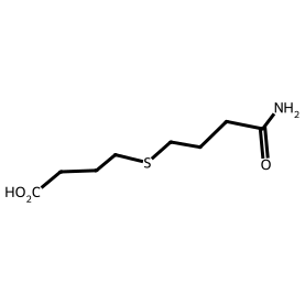 NC(=O)CCCSCCCC(=O)O